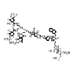 Cc1cc(C(=O)NCCN(CCCN(CCNC(=O)c2cc(C)n(CC(=O)O)c(=O)c2O)CCNC(=O)c2cc(C)n(CC(=O)NCc3ccc(C(=O)N[C@@H](Cc4ccc5ccccc5c4)C(=O)NCCCC[C@H](NC(=O)N[C@H](CCC(=O)O)C(=O)O)C(=O)O)nc3)c(=O)c2O)CCNC(=O)c2cc(C)n(CC(=O)O)c(=O)c2O)c(O)c(=O)n1CC(=O)O